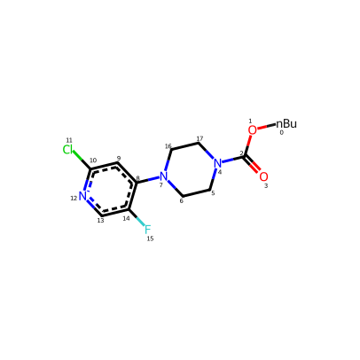 CCCCOC(=O)N1CCN(c2cc(Cl)ncc2F)CC1